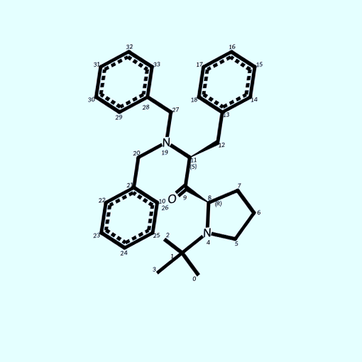 CC(C)(C)N1CCC[C@@H]1C(=O)[C@H](Cc1ccccc1)N(Cc1ccccc1)Cc1ccccc1